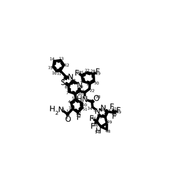 NC(=O)c1cc(-c2cc3sc(-c4ccccc4)nc3nc2C(Cc2cc(F)cc(F)c2)NC(=O)Cn2nc(C(F)(F)F)c3c2C(F)(F)[C@@H]2CC32)ccc1F